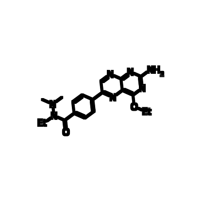 CCOc1nc(N)nc2ncc(-c3ccc(C(=O)N(CC)N(C)C)cc3)nc12